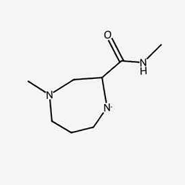 CNC(=O)C1CN(C)CCC[N]1